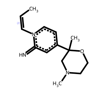 C/C=C\n1ccc(C2(C)CN(C)CCO2)cc1=N